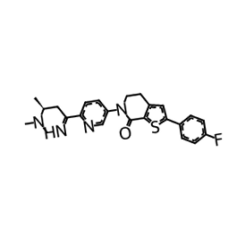 C[C@@H](CC(=N)c1ccc(N2CCc3cc(-c4ccc(F)cc4)sc3C2=O)cn1)N(C)C